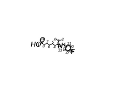 CC(C)C(CCCCCC(=O)O)N(C)Cc1ccc(F)cc1